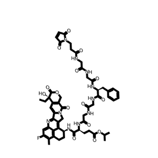 CC[C@@]1(O)C(=O)OCc2c1cc1n(c2=O)Cc2c-1nc1cc(F)c(C)c3c1c2[C@@H](NC(=O)[C@H](CCC(=O)OC(C)C)NC(=O)CNC(=O)CNC(=O)[C@H](Cc1ccccc1)NC(=O)CNC(=O)CNC(=O)CCN1C(=O)C=CC1=O)CC3